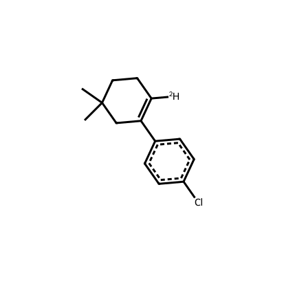 [2H]C1=C(c2ccc(Cl)cc2)CC(C)(C)CC1